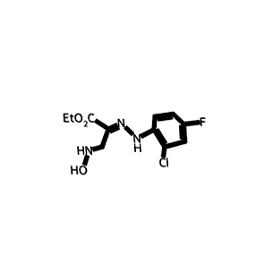 CCOC(=O)/C(CNO)=N/Nc1ccc(F)cc1Cl